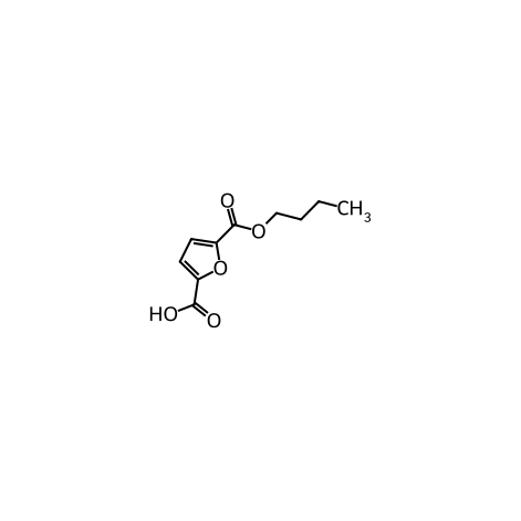 CCCCOC(=O)c1ccc(C(=O)O)o1